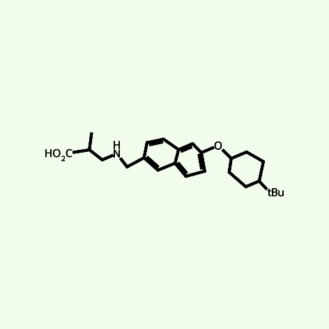 CC(CNCc1ccc2cc(OC3CCC(C(C)(C)C)CC3)ccc2c1)C(=O)O